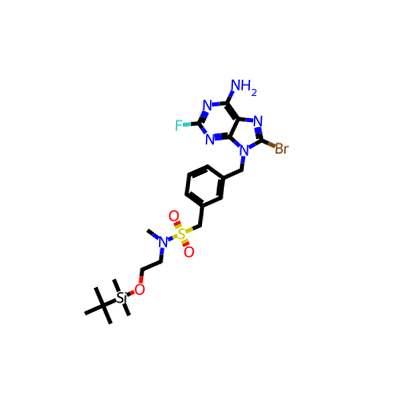 CN(CCO[Si](C)(C)C(C)(C)C)S(=O)(=O)Cc1cccc(Cn2c(Br)nc3c(N)nc(F)nc32)c1